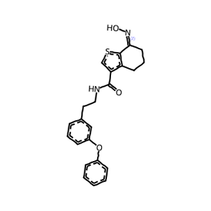 O=C(NCCc1cccc(Oc2ccccc2)c1)c1csc2c1CCC/C2=N/O